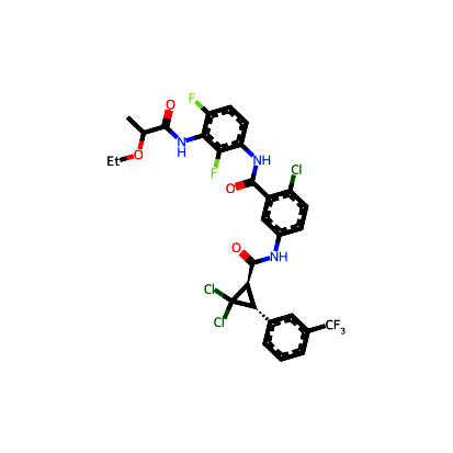 CCOC(C)C(=O)Nc1c(F)ccc(NC(=O)c2cc(NC(=O)[C@H]3[C@H](c4cccc(C(F)(F)F)c4)C3(Cl)Cl)ccc2Cl)c1F